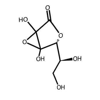 O=C1O[C@H]([C@@H](O)CO)C2(O)OC12O